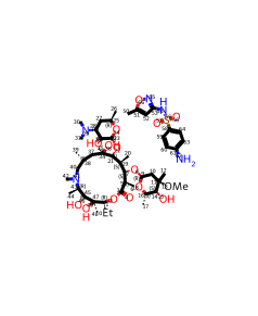 CC[C@H]1OC(=O)[C@H](C)[C@@H](O[C@H]2C[C@@](C)(OC)[C@@H](O)[C@H](C)O2)[C@H](C)[C@@H](O[C@@H]2O[C@H](C)C[C@H](N(C)C)[C@H]2O)[C@](C)(O)C[C@@H](C)CN(C)[C@H](C)[C@@H](O)[C@]1(C)O.Cc1cc(NS(=O)(=O)c2ccc(N)cc2)no1